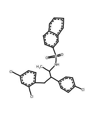 CC(NS(=O)(=O)c1ccc2ccccc2c1)C(Cc1ccc(Cl)cc1Cl)c1ccc(Cl)cc1